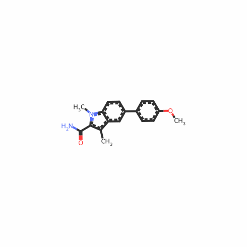 COc1ccc(-c2ccc3c(c2)c(C)c(C(N)=O)n3C)cc1